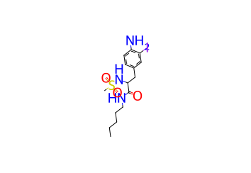 CCCCCNC(=O)C(Cc1ccc(N)c(I)c1)NS(C)(=O)=O